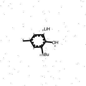 CCCCc1cc(C)ccc1O.[LiH]